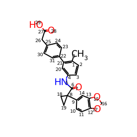 Cc1ccc(NC(=O)C2(c3ccc4c(c3)OCO4)CC2)cc1-c1ccc(CC(=O)O)cc1